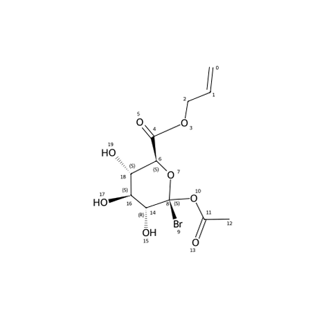 C=CCOC(=O)[C@H]1O[C@](Br)(OC(C)=O)[C@H](O)[C@@H](O)[C@@H]1O